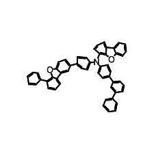 c1ccc(-c2cccc(-c3ccc(N(c4ccc(-c5ccc6oc7c(-c8ccccc8)cccc7c6c5)cc4)c4cccc5c4oc4ccccc45)cc3)c2)cc1